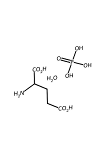 NC(CCC(=O)O)C(=O)O.O.O=P(O)(O)O